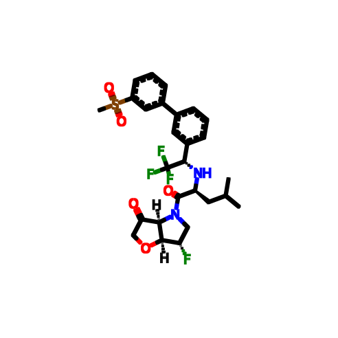 CC(C)C[C@H](N[C@@H](c1cccc(-c2cccc(S(C)(=O)=O)c2)c1)C(F)(F)F)C(=O)N1C[C@H](F)[C@H]2OCC(=O)[C@H]21